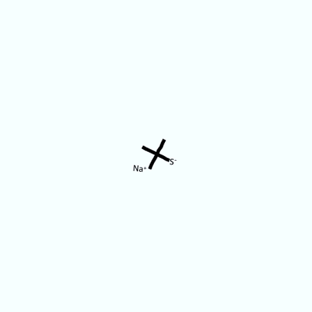 CC(C)(C)[S-].[Na+]